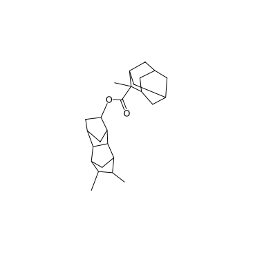 CC1C(C)C2CC1C1C3CC(OC(=O)C4(C)C5CC6CC(C5)CC4C6)C(C3)C21